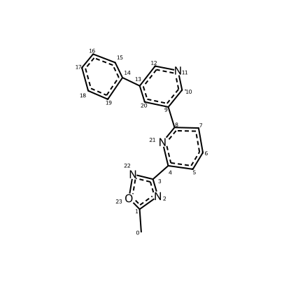 Cc1nc(-c2cccc(-c3[c]ncc(-c4ccccc4)c3)n2)no1